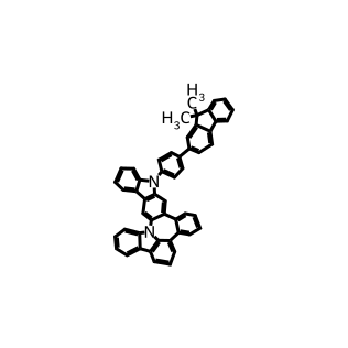 CC1(C)c2ccccc2-c2ccc(-c3ccc(-n4c5ccccc5c5cc6c(cc54)-c4ccccc4-c4cccc5c7ccccc7n-6c45)cc3)cc21